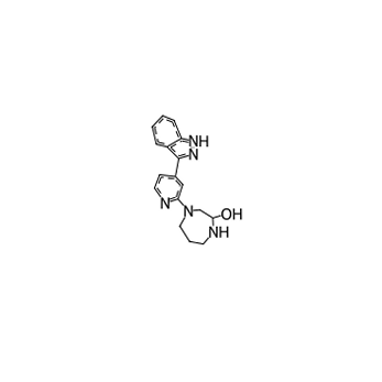 OC1CN(c2cc(-c3n[nH]c4ccccc34)ccn2)CCCN1